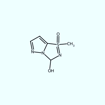 CS1(=O)=NC(O)n2nccc21